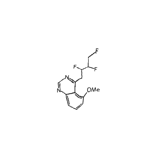 COc1cccc2ncnc(CC(F)C(F)CF)c12